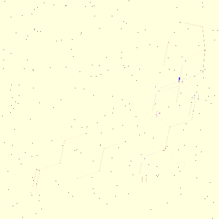 CC(=O)C1CCC(CN(C)C(=O)c2cnc(N3C4CCC3CN(CI)C4)nc2)CC1